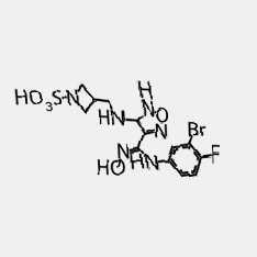 O=S(=O)(O)N1CC(CNC2NON=C2/C(=N/O)Nc2ccc(F)c(Br)c2)C1